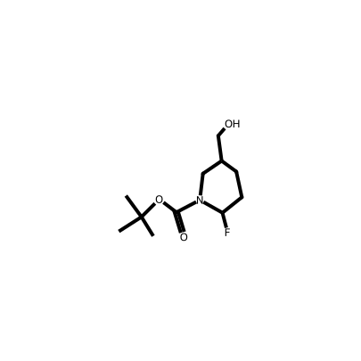 CC(C)(C)OC(=O)N1CC(CO)CCC1F